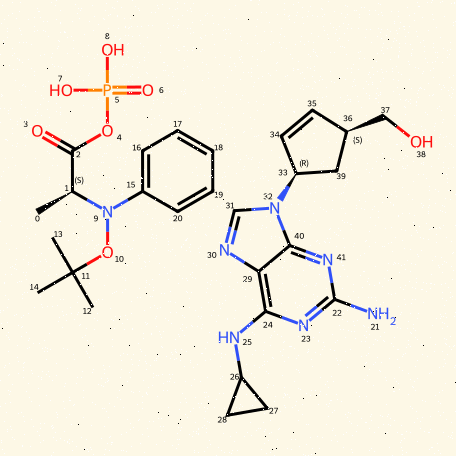 C[C@@H](C(=O)OP(=O)(O)O)N(OC(C)(C)C)c1ccccc1.Nc1nc(NC2CC2)c2ncn([C@H]3C=C[C@@H](CO)C3)c2n1